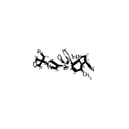 Cc1ccc(NS(=O)(=O)c2cnn(C3(CF)COC3)c2)c2[nH]cc(C#N)c12